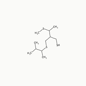 CSC(C)C(CS)CSC(C)C(C)C